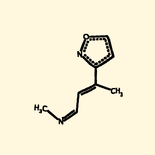 C/N=C\C=C(/C)c1ccon1